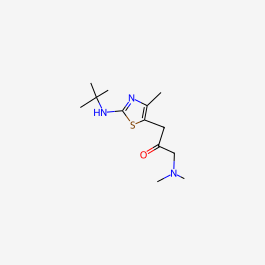 Cc1nc(NC(C)(C)C)sc1CC(=O)CN(C)C